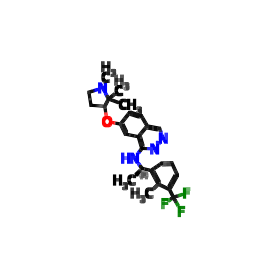 Cc1c([C@@H](C)Nc2nncc3ccc(OC4CCN(C)C4(C)C)cc23)cccc1C(F)(F)F